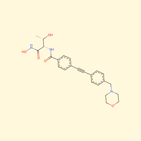 C[C@H](O)[C@H](NC(=O)c1ccc(C#Cc2ccc(CN3CCOCC3)cc2)cc1)C(=O)NO